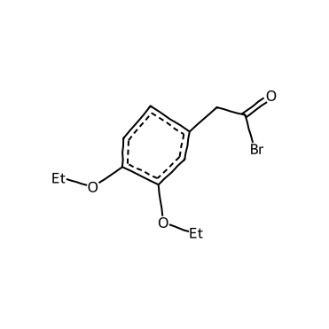 CCOc1ccc(CC(=O)Br)cc1OCC